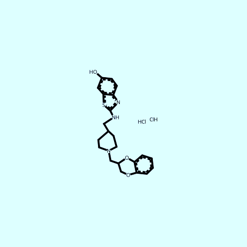 Cl.Cl.Oc1ccc2nc(NCC3CCN(CC4COc5ccccc5O4)CC3)sc2c1